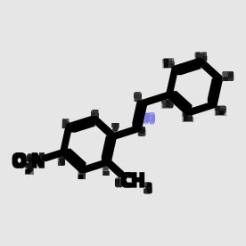 Cc1cc([N+](=O)[O-])ccc1/C=C/c1ccccc1